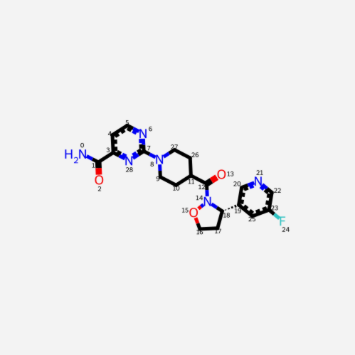 NC(=O)c1ccnc(N2CCC(C(=O)N3OCC[C@H]3c3cncc(F)c3)CC2)n1